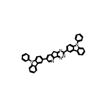 c1ccc(-n2c3ccccc3c3cc(-c4cnc5c(c4)Cc4nc(-c6ccc7c(c6)c6ccccc6n7-c6ccccc6)nnc4-5)ccc32)cc1